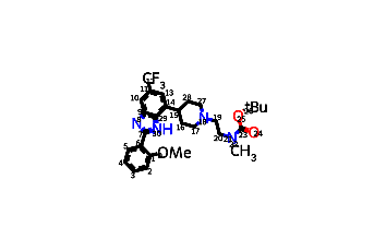 COc1ccccc1-c1nc2cc(C(F)(F)F)cc(C3CCN(CCN(C)C(=O)OC(C)(C)C)CC3)c2[nH]1